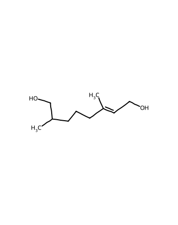 C/C(=C\CO)CCCC(C)CO